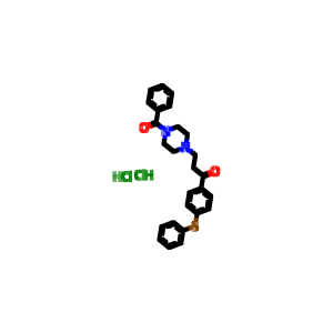 Cl.Cl.O=C(CCN1CCN(C(=O)c2ccccc2)CC1)c1ccc(Sc2ccccc2)cc1